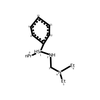 CCC[SiH](NCN(CC)CC)c1ccccc1